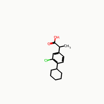 CC(C(=O)O)c1ccc(C2CCCCC2)c(Cl)c1